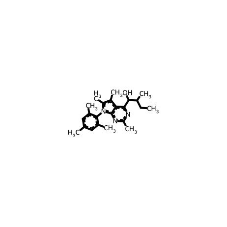 CCC(C)C(O)c1nc(C)nc2c1c(C)c(C)n2-c1c(C)cc(C)cc1C